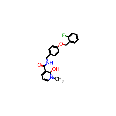 CN1C=CC=C(C(=O)NCc2ccc(OCc3ccccc3F)cc2)C1O